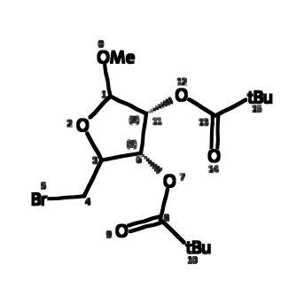 COC1OC(CBr)[C@@H](OC(=O)C(C)(C)C)[C@H]1OC(=O)C(C)(C)C